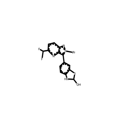 CC(C)n1nc2ccc(C(F)F)nc2c1-c1ccc2c(c1)SC(O)N2